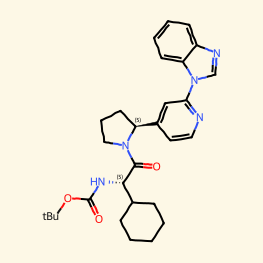 CC(C)(C)OC(=O)N[C@H](C(=O)N1CCC[C@H]1c1ccnc(-n2cnc3ccccc32)c1)C1CCCCC1